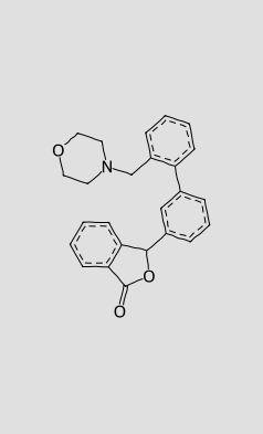 O=C1OC(c2cccc(-c3ccccc3CN3CCOCC3)c2)c2ccccc21